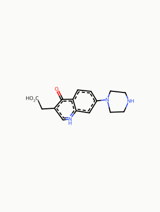 O=C(O)Cc1c[nH]c2cc(N3CCNCC3)ccc2c1=O